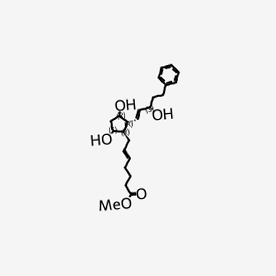 COC(=O)CCCC=CC[C@@H]1[C@@H](C=C[C@@H](O)CCc2ccccc2)[C@H](O)C[C@@H]1O